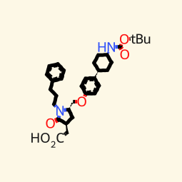 CC(C)(C)OC(=O)N[C@H]1CC[C@H](c2ccc(OC[C@@H]3C[C@@H](CC(=O)O)C(=O)N3CCCc3ccccc3)cc2)CC1